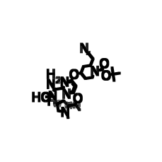 C[C@H](Oc1cc(OC2CCN(C(=O)OC(C)(C)C)C(CC#N)C2)nc(C(N)=NO)n1)[C@@H]1C[C@H](F)CN1C